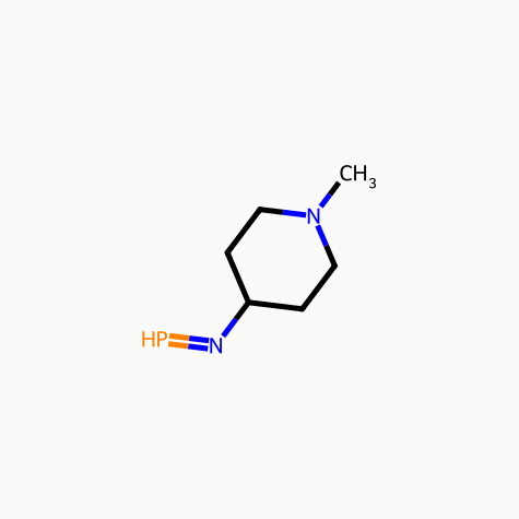 CN1CCC(N=P)CC1